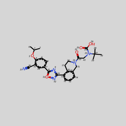 CC(C)Oc1ccc(-c2nc(-c3cccc4c3CCN(C(=O)CN(C(=O)O)C(C)(C)C)C4)no2)cc1C#N